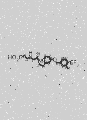 Cc1cc(COc2ccc3c(c2)CCN3C(=O)CNCCC(=O)O)ccc1C(F)(F)F